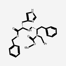 CC(C)CN(C(=O)OC(C)(C)C)[C@H](CN[C@@H](Cc1c[nH]cn1)C(=O)OCc1ccccc1)Cc1ccccc1